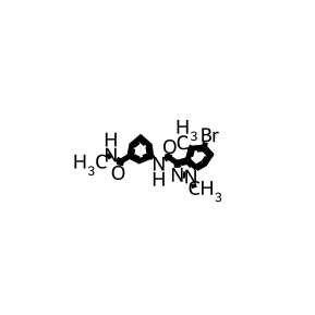 CNC(=O)c1cccc(NC(=O)c2nn(C)c3ccc(Br)c(C)c23)c1